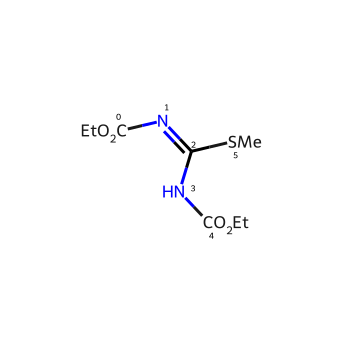 CCOC(=O)N=C(NC(=O)OCC)SC